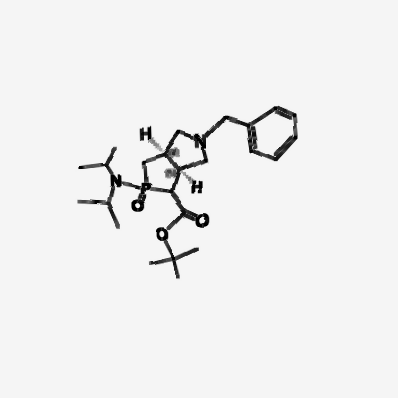 CC(C)N(C(C)C)P1(=O)C[C@H]2CN(Cc3ccccc3)C[C@H]2C1C(=O)OC(C)(C)C